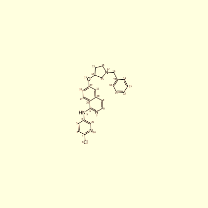 Clc1ccc(Nc2nccc3cc(OC4CCN(Cc5ccccc5)C4)ccc23)cn1